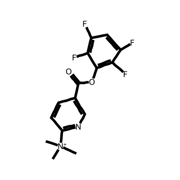 C[N+](C)(C)c1ccc(C(=O)Oc2c(F)c(F)cc(F)c2F)cn1